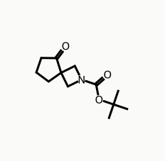 CC(C)(C)OC(=O)N1CC2(CCCC2=O)C1